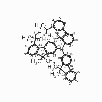 CC(C)c1cccc2c1sc1c(N(c3ccc4c(c3)C(C)(C)c3ccccc3-4)c3ccc4c(c3)C(C)(C)c3cccc(C(C)(C)C)c3-4)cccc12